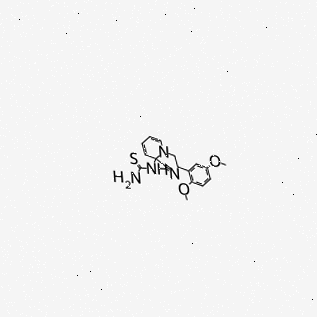 COc1ccc(OC)c(CCN2C=CC=CC2(C#N)NC(N)=S)c1